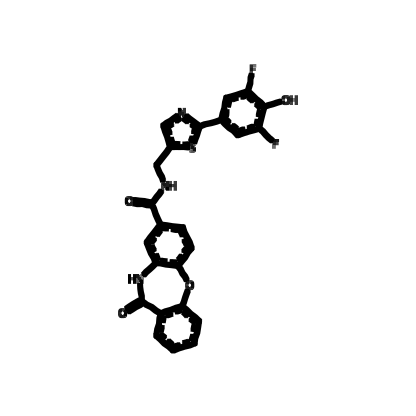 O=C(NCc1cnc(-c2cc(F)c(O)c(F)c2)s1)c1ccc2c(c1)NC(=O)c1ccccc1O2